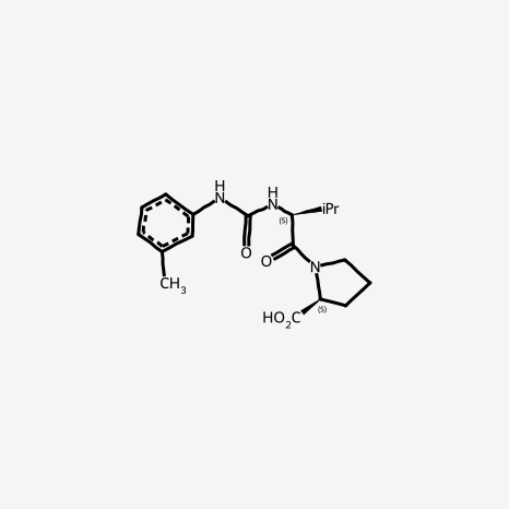 Cc1cccc(NC(=O)N[C@H](C(=O)N2CCC[C@H]2C(=O)O)C(C)C)c1